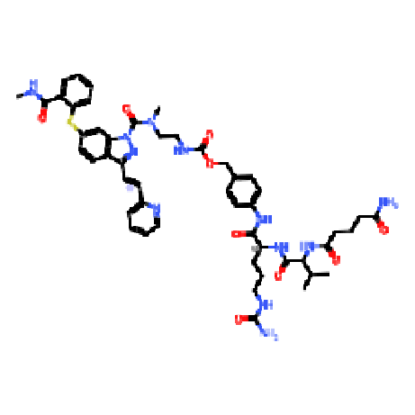 CNC(=O)c1ccccc1Sc1ccc2c(/C=C/c3ccccn3)nn(C(=O)N(C)CCNC(=O)OCc3ccc(NC(=O)[C@H](CCCNC(N)=O)NC(=O)C(NC(=O)CCCC(N)=O)C(C)C)cc3)c2c1